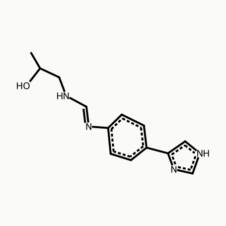 CC(O)CNC=Nc1ccc(-c2c[nH]cn2)cc1